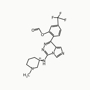 CN1CCC[C@@H](Nc2nnc(-c3ccc(C(F)(F)F)cc3OC=O)c3cncn23)C1